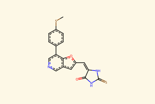 CSc1ccc(-c2cncc3cc(C=C4NC(=S)NC4=O)oc23)cc1